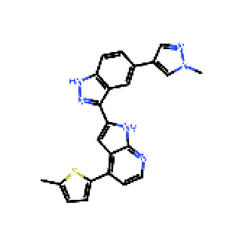 Cc1ccc(-c2ccnc3[nH]c(-c4n[nH]c5ccc(-c6cnn(C)c6)cc45)cc23)s1